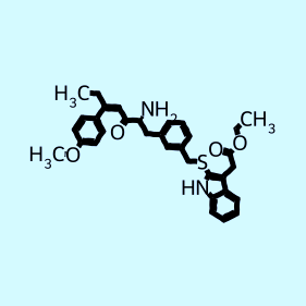 CCOC(=O)Cc1c(SCc2cccc(C[C@H](N)C(=O)/C=C(/CC)c3ccc(OC)cc3)c2)[nH]c2ccccc12